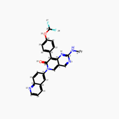 CC(C)Nc1ncc2cn(-c3ccc4ncccc4c3)c(=O)c(-c3ccc(OC(F)F)cc3)c2n1